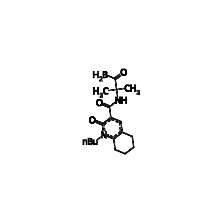 BC(=O)C(C)(C)NC(=O)c1cc2c(n(CCCC)c1=O)CCCC2